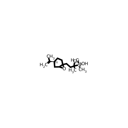 C=C(C)[C@H]1CCC2(CCC(C)(C)[Si](C)(C)O)OC2C1